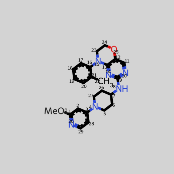 COc1cc(N2CCC(Nc3ncc4c(n3)N(c3ccccc3C)CCO4)CC2)ccn1